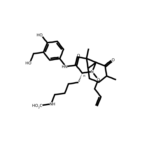 C=CCON([C@H](CCCCNC(=O)O)C(=O)Nc1ccc(O)c(CO)c1)C12C(=O)C(C)CCC1C2(C)C